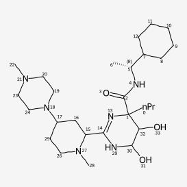 CCCC1(C(=O)N[C@H](C)C2CCCCC2)N=C(C2CC(N3CCN(C)CC3)CCN2C)NC(O)C1O